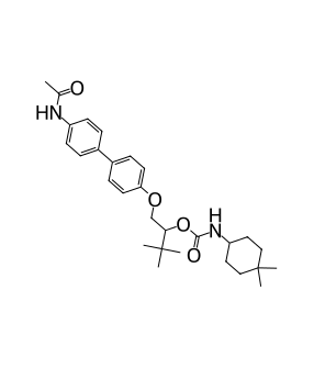 CC(=O)Nc1ccc(-c2ccc(OCC(OC(=O)NC3CCC(C)(C)CC3)C(C)(C)C)cc2)cc1